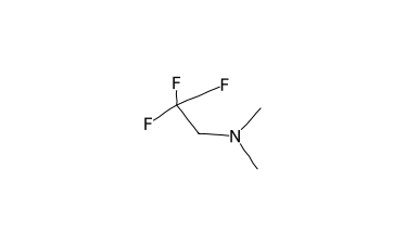 CN(C)CC(F)(F)F